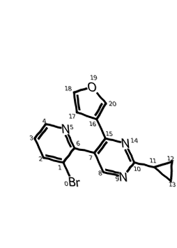 Brc1cccnc1-c1cnc(C2CC2)nc1-c1ccoc1